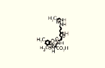 Cc1cc(C)c(S(=O)(=O)NC(CNC(=O)CC2CC(CCCNc3nc(C)c[nH]3)NO2)C(=O)O)c(C)c1